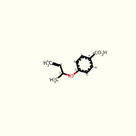 C=CC(C)Oc1ccc(C(=O)O)cc1